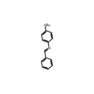 CCCCc1ccc(N=Cc2cc[c]cc2)cc1